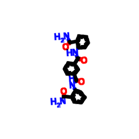 NC(=O)c1ccccc1NC(=O)c1cccc(C(=O)Nc2ccccc2C(N)=O)c1